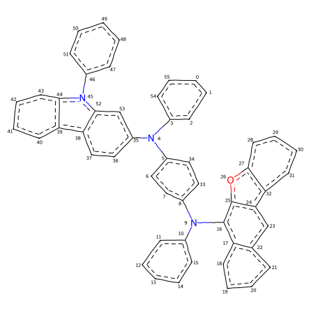 c1ccc(N(c2ccc(N(c3ccccc3)c3c4ccccc4cc4c3oc3ccccc34)cc2)c2ccc3c4ccccc4n(-c4ccccc4)c3c2)cc1